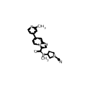 Cc1cc(-c2ccn3c(C(=O)N(C)C4CCN(C#N)C4)cnc3c2)ccn1